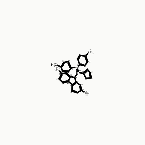 Cc1ccc([Si](c2ccc(C)cc2)=[Zr]([C]2=CC=CC2)[CH]2c3cc(C(C)(C)C)ccc3-c3ccc(C(C)(C)C)cc32)cc1